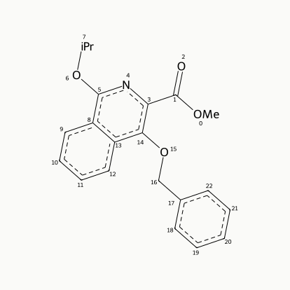 COC(=O)c1nc(OC(C)C)c2ccccc2c1OCc1ccccc1